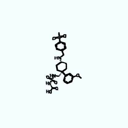 COc1cccc([C@]2(CNS(=O)(=O)NC(=O)O)CC[C@@H](NCc3ccc(S(C)(=O)=O)cc3)CC2)c1